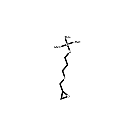 CO[Si](OC)(OC)OCCCOCC1CO1